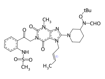 C/C=C/Cn1c(N2CCCC(N(C=O)OC(C)(C)C)C2)nc2c1c(=O)n(CC(=O)c1ccccc1NS(C)(=O)=O)c(=O)n2C